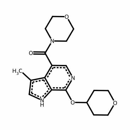 Cc1c[nH]c2c(OC3CCOCC3)ncc(C(=O)N3CCOCC3)c12